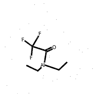 C[CH2][Al]([CH2]C)[C](=O)C(F)(F)F